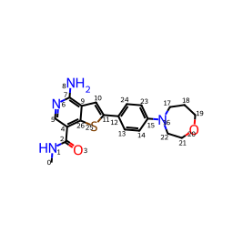 CNC(=O)c1cnc(N)c2cc(-c3ccc(N4CCCOCC4)cc3)sc12